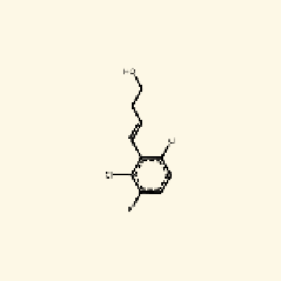 OCCC=Cc1c(Cl)ccc(F)c1Cl